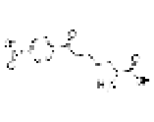 NC(CCCCC(=O)c1ccc([N+](=O)[O-])cc1)C(=O)O